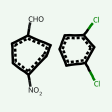 Clc1cccc(Cl)c1.O=Cc1ccc([N+](=O)[O-])cc1